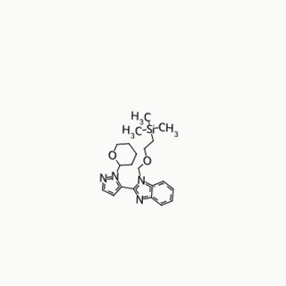 C[Si](C)(C)CCOCn1c(-c2ccnn2C2CCCCO2)nc2ccccc21